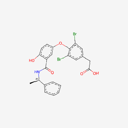 C[C@@H](NC(=O)c1cc(Oc2c(Br)cc(CC(=O)O)cc2Br)ccc1O)c1ccccc1